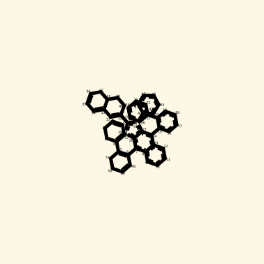 C1=CCCC(C2=C(c3c4ccccc4c(-c4ccccc4-c4ccccc4)c4c3nc(C3=CC5=CC=CCC5CC3)n4-c3ccccc3)C=CCC2)=C1